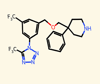 FC(F)(F)c1cc(COCC2(c3ccccc3)CCNCC2)cc(-n2nnnc2C(F)(F)F)c1